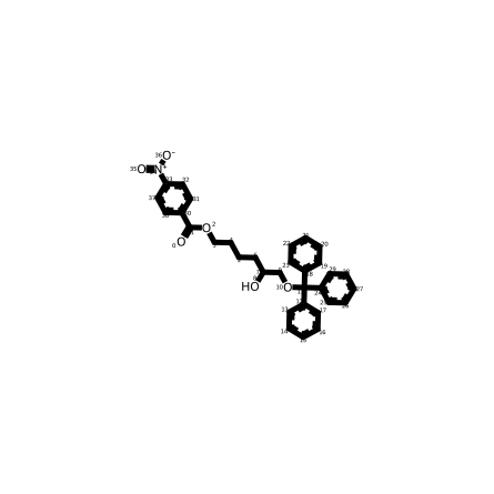 O=C(OCCCCC(O)COC(c1ccccc1)(c1ccccc1)c1ccccc1)c1ccc([N+](=O)[O-])cc1